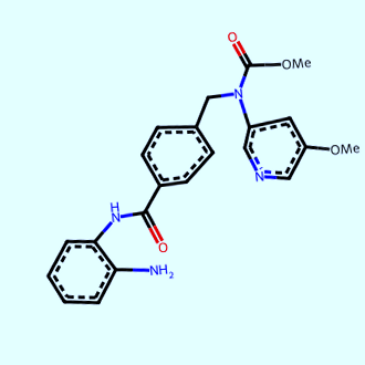 COC(=O)N(Cc1ccc(C(=O)Nc2ccccc2N)cc1)c1cncc(OC)c1